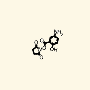 Nc1ccc(O)c(C(=O)ON2C(=O)CCC2=O)c1